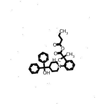 CCCC(=O)OC(=O)C(C)(C)c1ccccc1N1CCC(C(O)(c2ccccc2)c2ccccc2)CC1